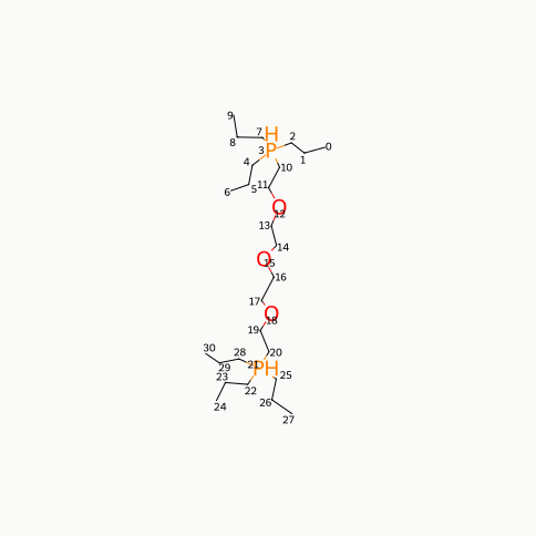 CCC[PH](CCC)(CCC)CCOCCOCCOCC[PH](CCC)(CCC)CCC